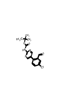 CC(C)(C)OC(=O)Nc1ncc(-c2ccc(Cl)cc2C=O)cn1